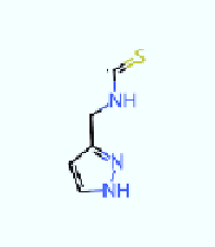 S=[C]NCc1cc[nH]n1